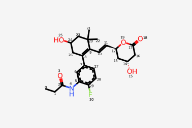 CCC(=O)Nc1cc(C2=C(/C=C/[C@@H]3C[C@@H](O)CC(=O)O3)C(C)(C)CC(O)C2)ccc1F